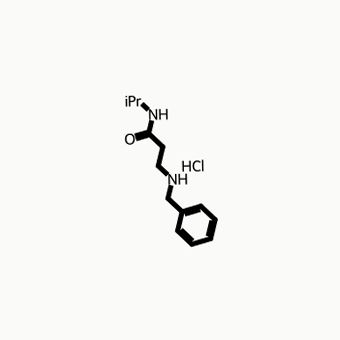 CC(C)NC(=O)CCNCc1ccccc1.Cl